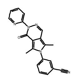 Cc1c2cnn(-c3ccccn3)c(=O)c2c(C)n1-c1cccc(C#N)c1